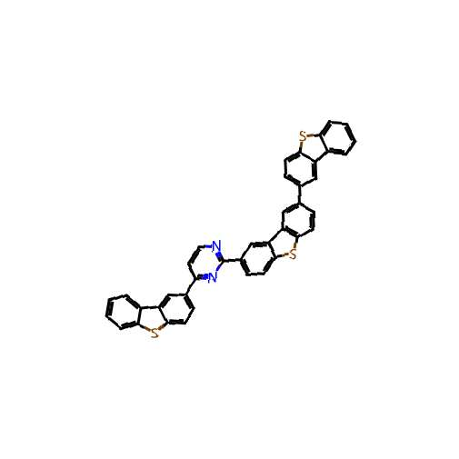 c1ccc2c(c1)sc1ccc(-c3ccc4sc5ccc(-c6nccc(-c7ccc8sc9ccccc9c8c7)n6)cc5c4c3)cc12